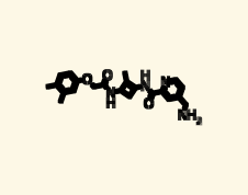 CC1=C(NC(=O)c2cc(CN)ccn2)CC1NC(=O)COc1ccc(C)c(C)c1